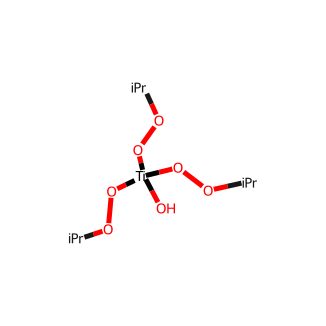 CC(C)O[O][Ti]([OH])([O]OC(C)C)[O]OC(C)C